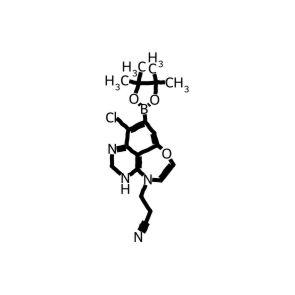 CC1(C)OB(c2cc3c4c(c2Cl)=NCNC=4N(CCC#N)C=CO3)OC1(C)C